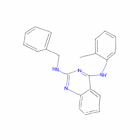 Cc1ccccc1Nc1nc(NCc2ccccc2)nc2ccccc12